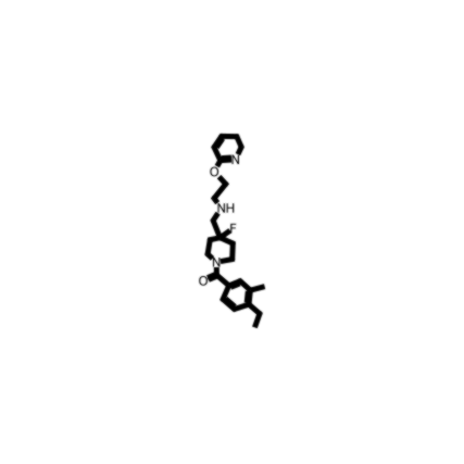 CCc1ccc(C(=O)N2CCC(F)(CNCCOC3=NCCC=C3)CC2)cc1C